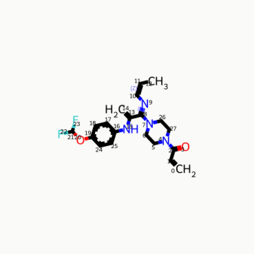 C=CC(=O)N1CCN(/C(=N/C=C\C)C(=C)Nc2ccc(OC(F)F)cc2)CC1